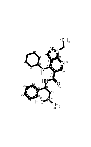 CCn1ncc2c(NC3CCCCC3)c(C(=O)NC(CN(C)C)c3ccccc3)cnc21